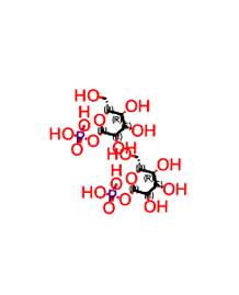 O=P(O)(O)O[C@H]1O[C@H](CO)[C@H](O)[C@H](O)[C@H]1O.O=P(O)(O)O[C@H]1O[C@H](CO)[C@H](O)[C@H](O)[C@H]1O